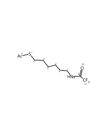 CC(=O)SCCCCCCNC(=O)C(F)(F)F